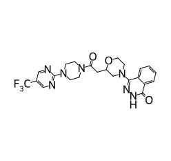 O=C(CC1CN(c2n[nH]c(=O)c3ccccc23)CCO1)N1CCN(c2ncc(C(F)(F)F)cn2)CC1